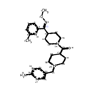 CO/N=C(\c1cccc(C)n1)C1CCN(C(=O)C2CCN(Cc3cnc(N)nc3)CC2)CC1